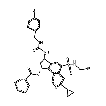 CC(C)CNS(=O)(=O)c1cc2c(c3cnc(C4CC4)cc13)[C@H](NC(=O)c1cccnc1)C[C@H]2NC(=O)NCc1ccc(Br)cc1